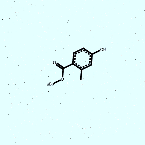 CCCCOC(=O)c1ccc(O)cc1C